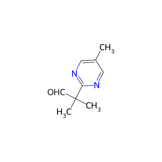 Cc1cnc(C(C)(C)C=O)nc1